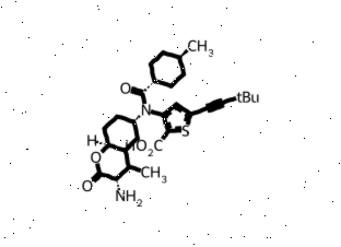 CC1C2C[C@@H](N(c3cc(C#CC(C)(C)C)sc3C(=O)O)C(=O)[C@H]3CC[C@H](C)CC3)CC[C@@H]2OC(=O)[C@H]1N